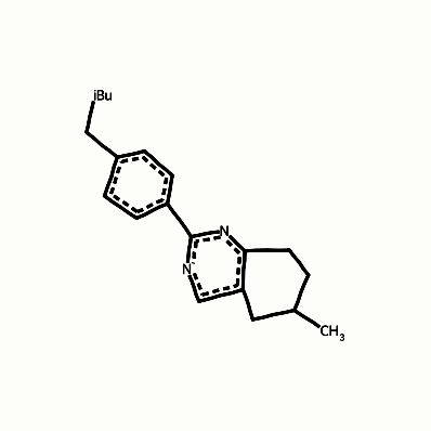 CCC(C)Cc1ccc(-c2ncc3c(n2)CCC(C)C3)cc1